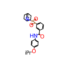 CC(C)Oc1ccc(NC(=O)c2cccc(S(=O)(=O)N3CC4CCC3CC4)c2)cc1